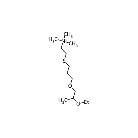 CCOC(C)COCCCSCC[N+](C)(C)C